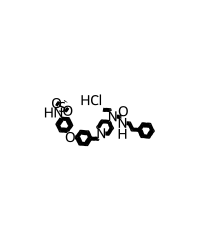 CCN(C(=O)NCCc1ccccc1)C1CCN(Cc2ccc(Oc3ccc(NS(C)(=O)=O)cc3)cc2)CC1.Cl